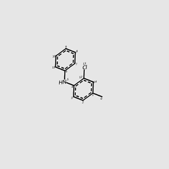 Cc1ccc(Nc2ccccc2)c(Cl)c1